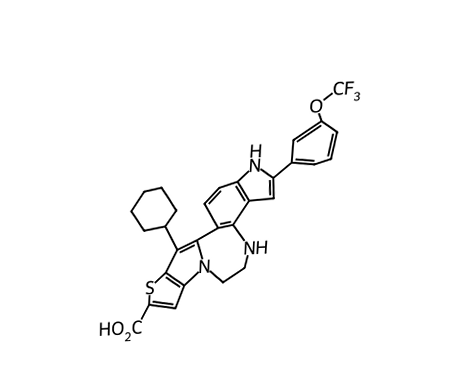 O=C(O)c1cc2c(s1)c(C1CCCCC1)c1n2CCNc2c-1ccc1[nH]c(-c3cccc(OC(F)(F)F)c3)cc21